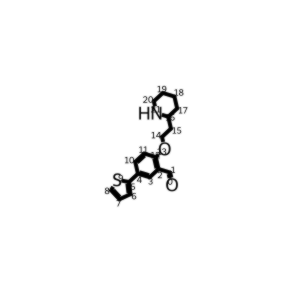 O=Cc1cc(-c2cccs2)ccc1OCCC1CCCCN1